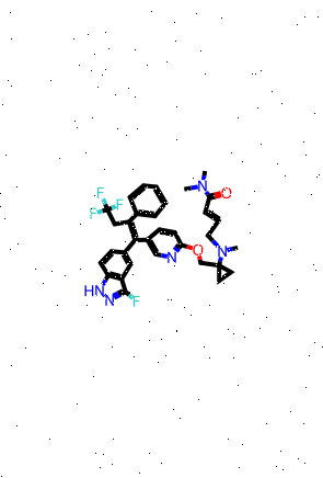 CN(C)C(=O)C=CCN(C)C1(COc2ccc(/C(=C(/CC(F)(F)F)c3ccccc3)c3ccc4[nH]nc(F)c4c3)cn2)CC1